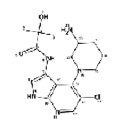 CC(C)(O)C(=O)Nc1c[nH]c2ncc(Cl)c(N3CCCC(N)C3)c12